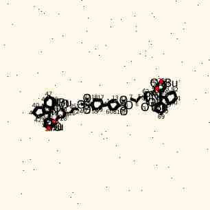 CC(C)(C)OC(=O)[C@@H](CCCOS(=O)(=O)c1ccc(-c2ccc(S(=O)(=O)OCCC[C@@H](C[C@H](NC(c3ccccc3)(c3ccccc3)C3C=CC=CC3)C(=O)OC(C)(C)C)C(=O)OC(C)(C)C)cc2)cc1)C[C@H](NC(c1ccccc1)(c1ccccc1)c1ccccc1)C(=O)OC(C)(C)C